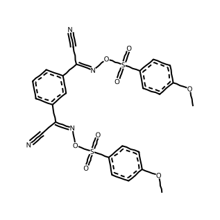 COc1ccc(S(=O)(=O)ON=C(C#N)c2cccc(C(C#N)=NOS(=O)(=O)c3ccc(OC)cc3)c2)cc1